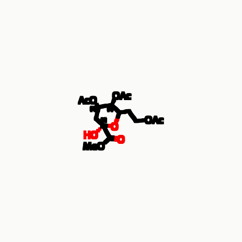 COC(=O)[C@@]1(O)C[C@@H](OC(C)=O)[C@@H](OC(C)=O)C(CCOC(C)=O)O1